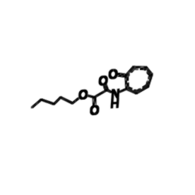 CCCCCOC(=O)C(=O)Nc1cccccc1=O